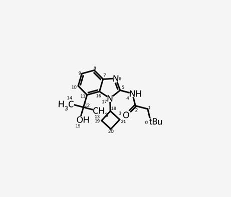 CC(C)(C)CC(=O)Nc1nc2cccc(C(C)(C)O)c2n1C1CCC1